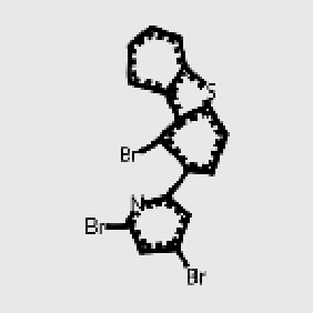 Brc1cc(Br)nc(-c2ccc3sc4ccccc4c3c2Br)c1